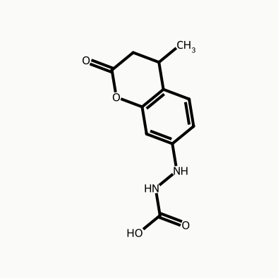 CC1CC(=O)Oc2cc(NNC(=O)O)ccc21